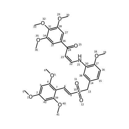 COc1cc(OC)c(/C=C/S(=O)(=O)Cc2ccc(OC)c(N/C=C\C(=O)c3cc(OC)c(OC)c(OC)c3)c2)c(OC)c1